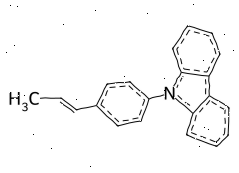 CC=Cc1ccc(-n2c3ccccc3c3ccccc32)cc1